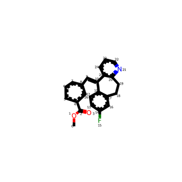 COC(=O)c1cccc(/C=C2\c3ccc(F)cc3CCc3ncccc32)c1